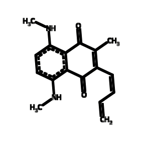 C=C/C=C\C1=C(C)C(=O)c2c(NC)ccc(NC)c2C1=O